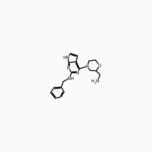 NCC1CN(c2nc(NCc3ccccc3)nc3[nH]ccc23)CCO1